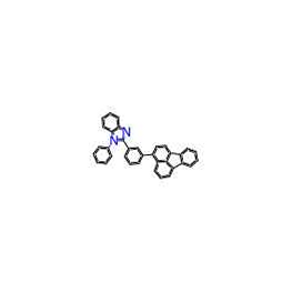 c1ccc(-n2c(-c3cccc(-c4ccc5c6c(cccc46)-c4ccccc4-5)c3)nc3ccccc32)cc1